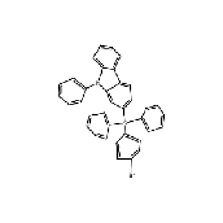 Brc1ccc(S(c2ccccc2)(c2ccccc2)c2ccc3c4ccccc4n(-c4ccccc4)c3c2)cc1